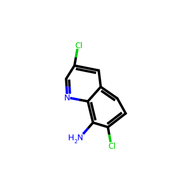 Nc1c(Cl)ccc2cc(Cl)cnc12